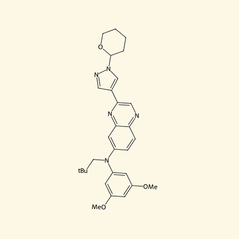 COc1cc(OC)cc(N(CC(C)(C)C)c2ccc3ncc(-c4cnn(C5CCCCO5)c4)nc3c2)c1